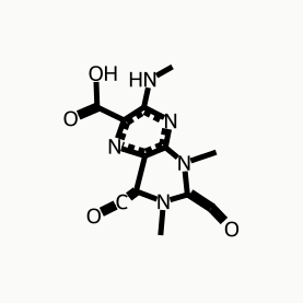 CNc1nc2c(nc1C(=O)O)C(=C=O)N(C)C(=C=O)N2C